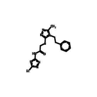 CCc1nnc(NC(=O)CSc2nnc(C)n2CCc2ccccc2)s1